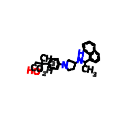 CC(NC1CCN(c2ccc(C(C)(CO)CC(=O)O)cc2)C1)c1cccc2ccccc12